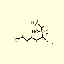 CCCCCC(N)[Si](O)(O)CC